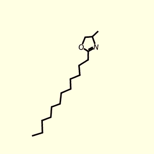 CCCCCCCCCCCCC1=NC(C)CO1